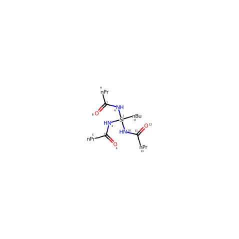 CCCC[Si](NC(=O)CCC)(NC(=O)CCC)NC(=O)CCC